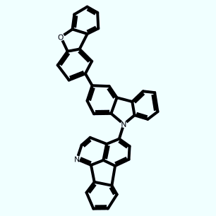 c1ccc2c(c1)-c1ccc(-n3c4ccccc4c4cc(-c5ccc6oc7ccccc7c6c5)ccc43)c3ccnc-2c13